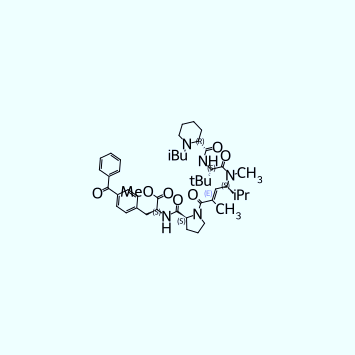 CCC(C)N1CCCC[C@@H]1C(=O)N[C@H](C(=O)N(C)[C@H](/C=C(\C)C(=O)N1CCC[C@H]1C(=O)N[C@@H](Cc1ccc(C(=O)c2ccccc2)cc1)C(=O)OC)C(C)C)C(C)(C)C